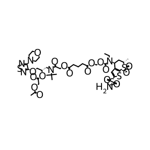 CCN(C(=O)OCOC(=O)CCCC(=O)OCC(=O)N(C[C@@H](COc1nsnc1N1CCOCC1)OC(=O)COC(C)=O)C(C)(C)C)[C@H]1C[C@H](C)S(=O)(=O)c2sc(S(N)(=O)=O)cc21